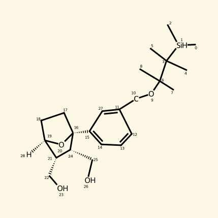 C[SiH](C)C(C)(C)C(C)(C)OCc1cccc([C@@]23CC[C@@H](O2)[C@@H](CO)[C@H]3CO)c1